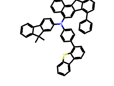 CC1(C)c2ccccc2-c2ccc(N(c3ccc(-c4cccc5c4sc4ccccc45)cc3)c3cc4c(c5ccccc35)C(C)(C)c3cccc(-c5ccccc5)c3-4)cc21